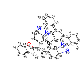 Cc1cccc2c3cc4c5cccc(C)c5c5nc6ccc7c8c6n5c4c4c3n3c(nc5ccc(c(c53)B84)-c3ccc4c(oc5ccccc54)c3-7)c12